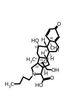 CCCCN1C[C@]2(C(=O)CO)[C@@H](C[C@H]3[C@@H]4CCC5=CC(=O)C=C[C@]5(C)[C@H]4[C@@H](O)C[C@@]32C)C1C(=O)O